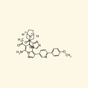 COc1ccc(-c2ccc(-c3cnn4c(N)c(C(C)=O)c([C@H]5C[C@H]6CC[C@@H](C5)N6C(=O)c5nnc[nH]5)nc34)cn2)cc1